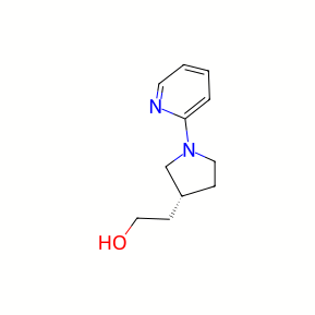 OCC[C@H]1CCN(c2ccccn2)C1